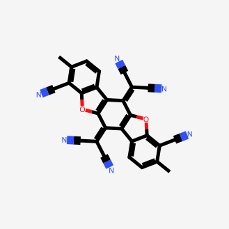 Cc1ccc2c(oc3c(=C(C#N)C#N)c4c(oc5c(C#N)c(C)ccc54)c(=C(C#N)C#N)c32)c1C#N